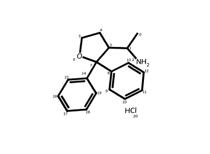 CC(N)C1CCOC1(c1ccccc1)c1ccccc1.Cl